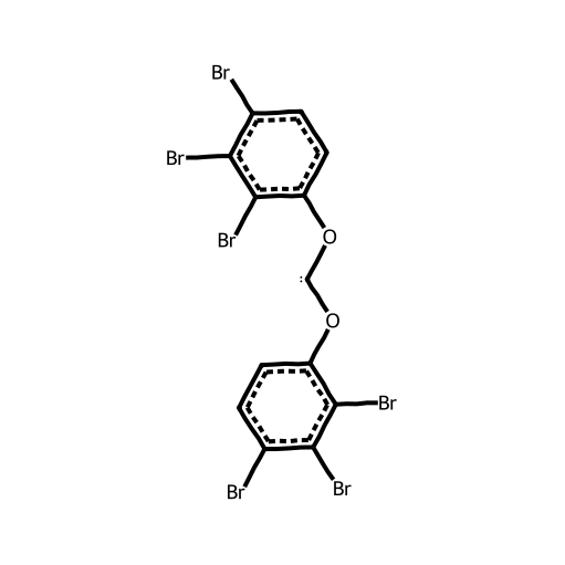 Brc1ccc(O[C]Oc2ccc(Br)c(Br)c2Br)c(Br)c1Br